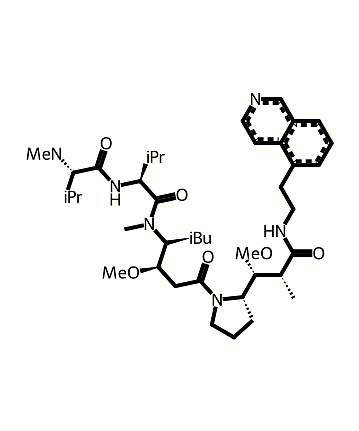 CC[C@H](C)C([C@@H](CC(=O)N1CCC[C@H]1[C@H](OC)[C@@H](C)C(=O)NCCc1cccc2cnccc12)OC)N(C)C(=O)[C@@H](NC(=O)[C@@H](NC)C(C)C)C(C)C